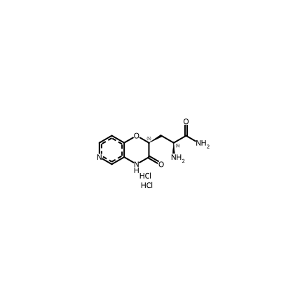 Cl.Cl.NC(=O)[C@@H](N)C[C@@H]1Oc2ccncc2NC1=O